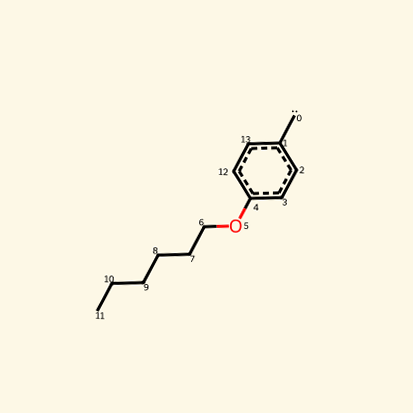 [CH]c1ccc(OCCCCCC)cc1